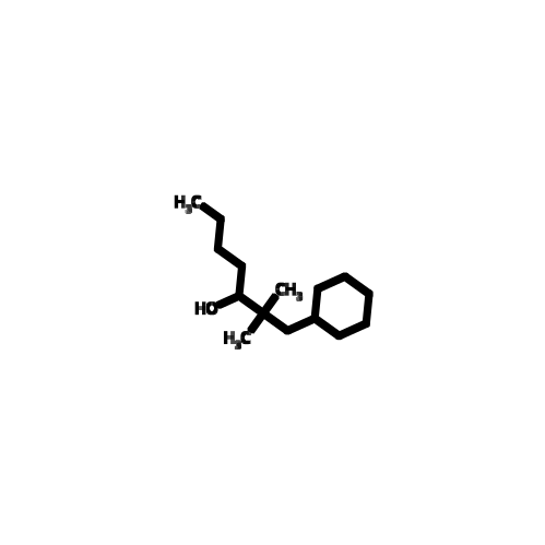 CCCCC(O)C(C)(C)CC1CCCCC1